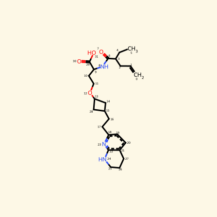 C=CCC(CC)C(=O)NC(CCOC1CC(CCc2ccc3c(n2)NCCC3)C1)C(=O)O